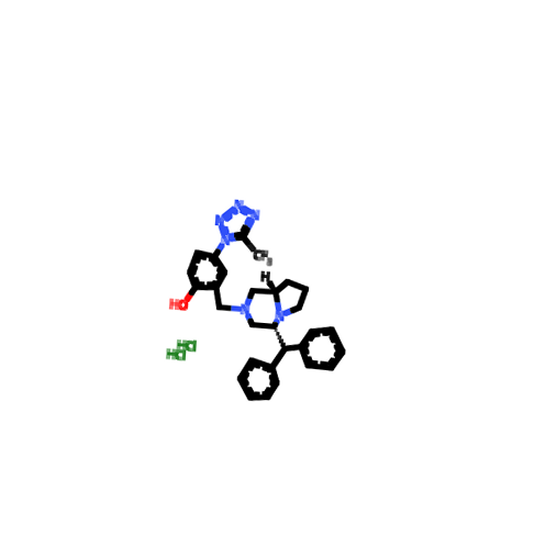 Cl.Cl.Oc1ccc(-n2nnnc2C(F)(F)F)cc1CN1C[C@@H]2CCCN2[C@H](C(c2ccccc2)c2ccccc2)C1